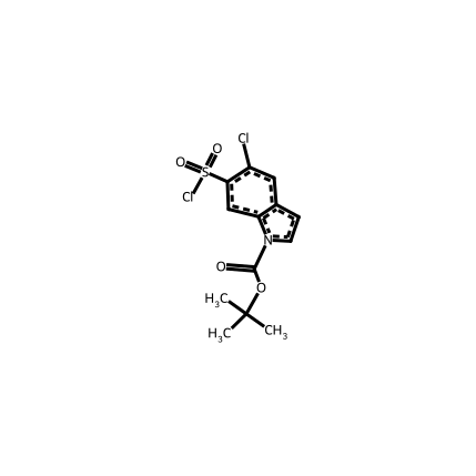 CC(C)(C)OC(=O)n1ccc2cc(Cl)c(S(=O)(=O)Cl)cc21